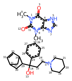 Cn1c(=O)c2[nH]cnc2n(C)c1=O.OC(CCN1CCCCC1)(c1ccccc1)C1CC2C=CC1C2